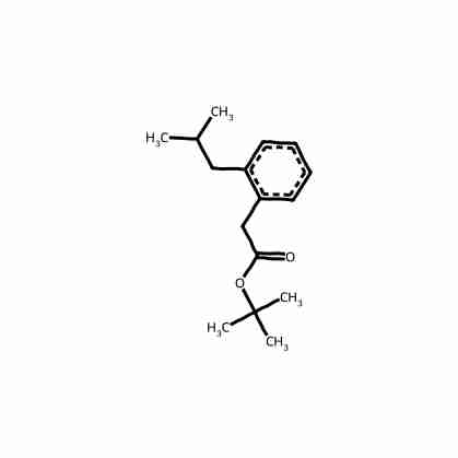 CC(C)Cc1ccccc1CC(=O)OC(C)(C)C